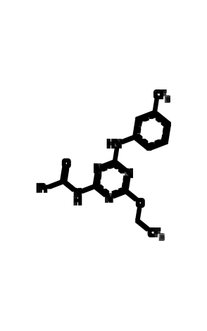 CC(C)C(=O)Nc1nc(Nc2cccc(C(F)(F)F)c2)nc(OCC(F)(F)F)n1